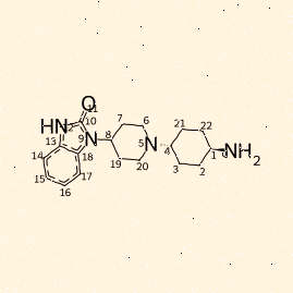 N[C@H]1CC[C@H](N2CCC(n3c(=O)[nH]c4ccccc43)CC2)CC1